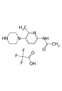 CC(=O)Nc1ccc(N2CCNCC2)c(C)n1.O=C(O)C(F)(F)F